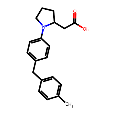 Cc1ccc(Cc2ccc(N3CCCC3CC(=O)O)cc2)cc1